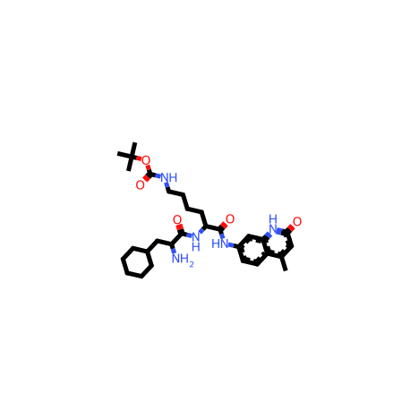 Cc1cc(=O)[nH]c2cc(NC(=O)C(CCCCNC(=O)OC(C)(C)C)NC(=O)C(N)CC3CCCCC3)ccc12